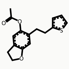 CC(=O)Oc1cc2c(cc1CCc1cccs1)OCC2